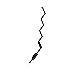 [CH2]CCCCCC=CC#CF